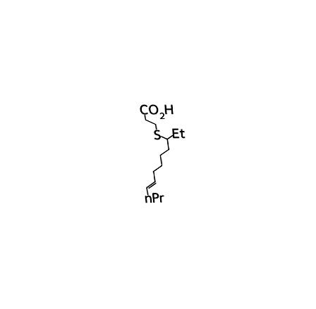 CCCC=CCCCCC(CC)SCCC(=O)O